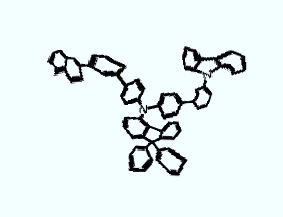 c1ccc(C2(c3ccccc3)c3ccccc3-c3c(N(c4ccc(-c5cccc(-c6ccc7ccccc7c6)c5)cc4)c4ccc(-c5cccc(-n6c7ccccc7c7ccccc76)c5)cc4)cccc32)cc1